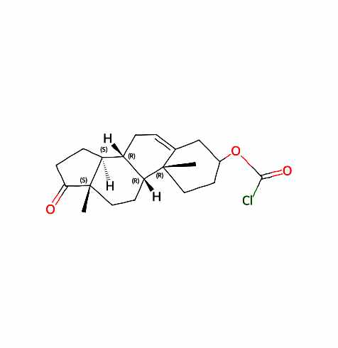 C[C@]12CCC(OC(=O)Cl)CC1=CC[C@@H]1[C@H]2CC[C@]2(C)C(=O)CC[C@@H]12